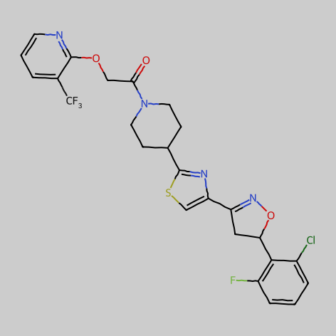 O=C(COc1ncccc1C(F)(F)F)N1CCC(c2nc(C3=NOC(c4c(F)cccc4Cl)C3)cs2)CC1